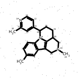 Cc1ccc2c(c1)c1c3n2C(c2ccnc(C)c2)CCC3CN(C)C1